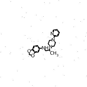 CC(CNc1ccc2c(c1)OCO2)N1CCN(c2ccccn2)CC1